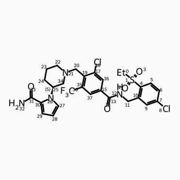 CCS(=O)(=O)c1ccc(Cl)cc1CNC(=O)c1cc(Cl)c(CN2CCC[C@H](n3cccc3C(N)=O)C2)c(C(F)(F)F)c1